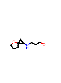 [O]CCCNC1CC12CCCO2